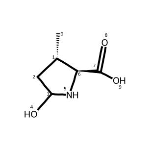 C[C@H]1CC(O)N[C@@H]1C(=O)O